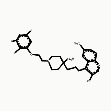 COc1ccc2ncc(Cl)c(CCCC3(C(=O)O)CCN(CCOc4cc(F)cc(F)c4F)CC3)c2c1